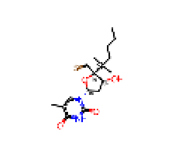 CCCC[Si](C)(C)[C@]1(C=S)O[C@@H](n2cc(C)c(=O)[nH]c2=O)C[C@@H]1O